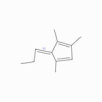 CC/C=C1\C(C)=CC(C)=C1C